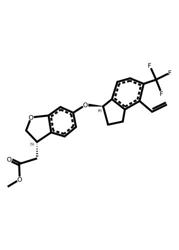 C=Cc1c(C(F)(F)F)ccc2c1CC[C@H]2Oc1ccc2c(c1)OC[C@H]2CC(=O)OC